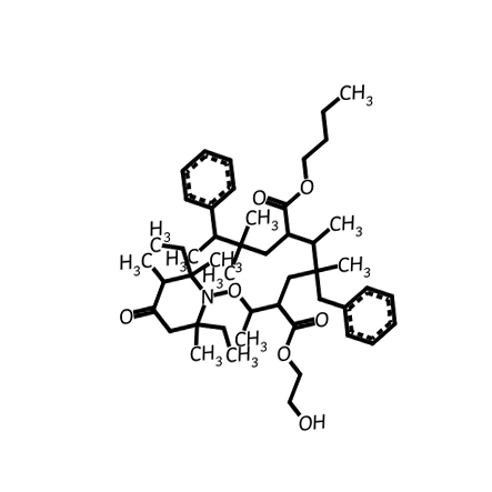 CCCCOC(=O)C(CC(C)(C)C(C)c1ccccc1)C(C)C(C)(Cc1ccccc1)CC(C(=O)OCCO)C(C)ON1C(C)(CC)CC(=O)C(C)C1(C)CC